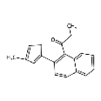 CCC(=O)c1c(C2=CC(C)=CC2)ccc2ccccc12